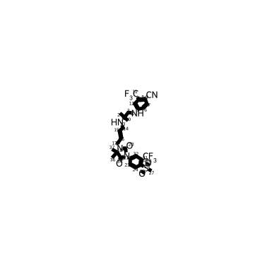 CC(C)(CNc1ccc(C#N)c(C(F)(F)F)c1)NCC=CCN1C(=O)N(c2ccc(S(C)(=O)=O)c(C(F)(F)F)c2)C(=O)C1(C)C